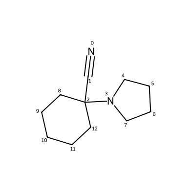 N#CC1(N2CCCC2)CCCCC1